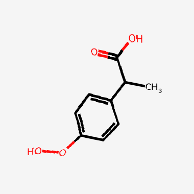 CC(C(=O)O)c1ccc(OO)cc1